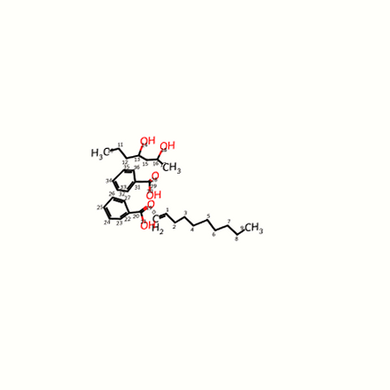 C=CCCCCCCCC.CCCC(O)CC(C)O.O=C(O)c1ccccc1.O=C(O)c1ccccc1